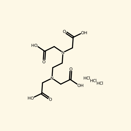 Cl.Cl.Cl.O=C(O)CN(CCN(CC(=O)O)CC(=O)O)CC(=O)O